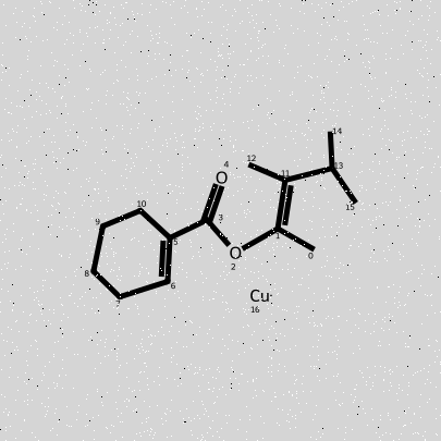 CC(OC(=O)C1=CCCCC1)=C(C)C(C)C.[Cu]